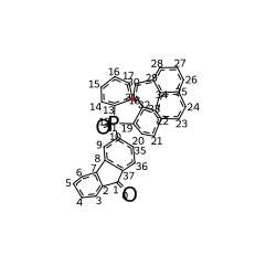 O=C1c2ccccc2-c2cc(P(=O)(c3ccccc3)c3ccc4ccc5cccc6ccc3c4c56)ccc21